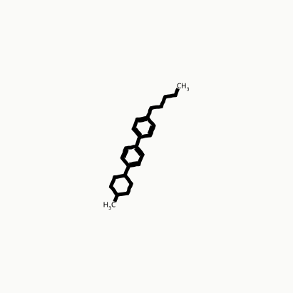 CCCCCc1ccc(-c2ccc(C3CCC(C)CC3)cc2)cc1